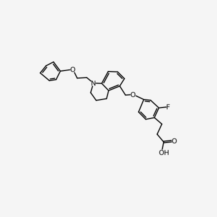 O=C(O)CCc1ccc(OCc2cccc3c2CCCN3CCOc2ccccc2)cc1F